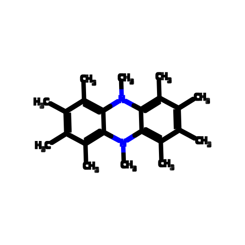 Cc1c(C)c(C)c2c(c1C)N(C)c1c(C)c(C)c(C)c(C)c1N2C